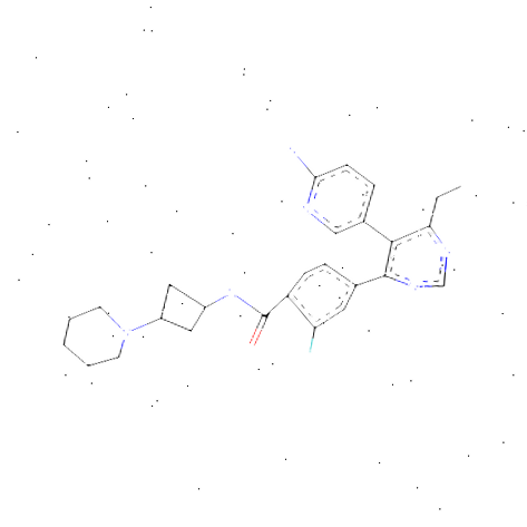 CCc1ncnc(-c2ccc(C(=O)NC3CC(N4CCCCC4)C3)c(F)c2)c1-c1ccc(N)nc1